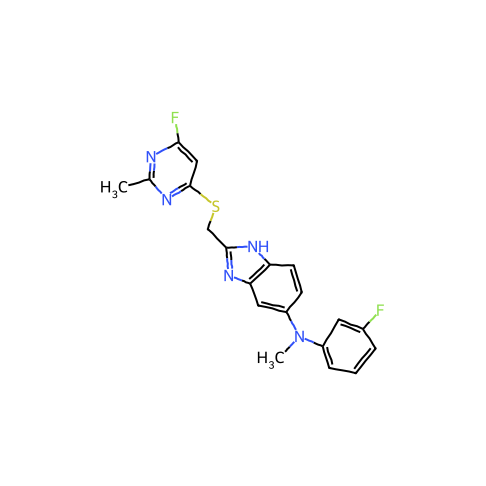 Cc1nc(F)cc(SCc2nc3cc(N(C)c4cccc(F)c4)ccc3[nH]2)n1